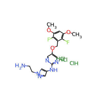 COc1cc(OC)c(F)c(COc2cnc(Nc3cnn(CCN)c3)nc2)c1F.Cl.Cl.Cl